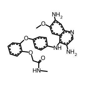 CNC(=O)COc1ccccc1Oc1ccc(Nc2c(N)cnc3cc(N)c(OC)cc23)cc1